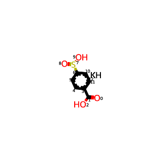 O=C(O)c1ccc(S(=O)O)cc1.[KH]